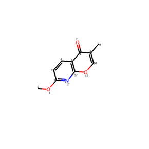 COc1ccc2c(=O)c(C)coc2n1